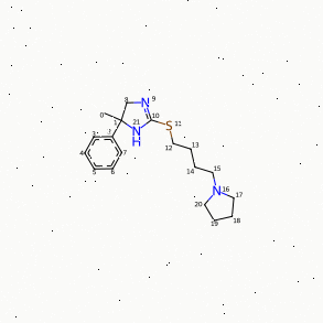 CC1(c2ccccc2)CN=C(SCCCCN2CCCC2)N1